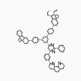 C=Cc1oc2ccc(-c3ccc(-c4cc(-c5ccc(-c6ccc7oc8ccccc8c7c6)cc5)cc(-c5cc(-c6cccc(-c7ccc8ccc9cccnc9c8n7)c6)nc(-c6ccccc6)n5)c4)cc3)cc2c1/C=C\C